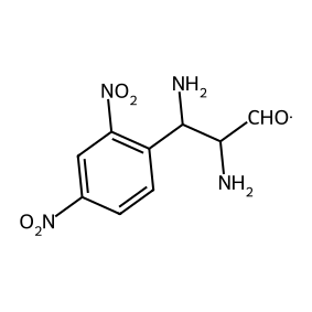 NC([C]=O)C(N)c1ccc([N+](=O)[O-])cc1[N+](=O)[O-]